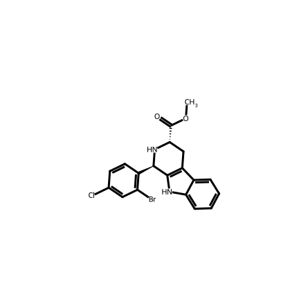 COC(=O)[C@@H]1Cc2c([nH]c3ccccc23)[C@@H](c2ccc(Cl)cc2Br)N1